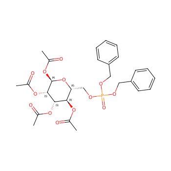 CC(=O)O[C@H]1O[C@H](COP(=O)(OCc2ccccc2)OCc2ccccc2)[C@@H](OC(C)=O)[C@H](OC(C)=O)[C@@H]1OC(C)=O